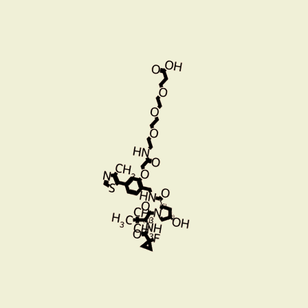 Cc1ncsc1-c1ccc(CNC(=O)[C@@H]2C[C@@H](O)CN2C(=O)[C@@H](NC(=O)C2(F)CC2)C(C)(C)C)c(OCC(=O)NCCOCCOCCOCCC(=O)O)c1